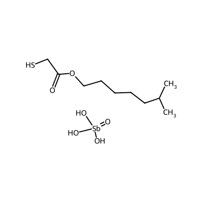 CC(C)CCCCCOC(=O)CS.[O]=[Sb]([OH])([OH])[OH]